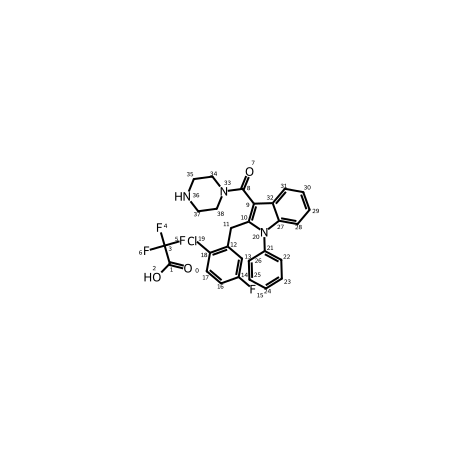 O=C(O)C(F)(F)F.O=C(c1c(Cc2cc(F)ccc2Cl)n(-c2ccccc2)c2ccccc12)N1CCNCC1